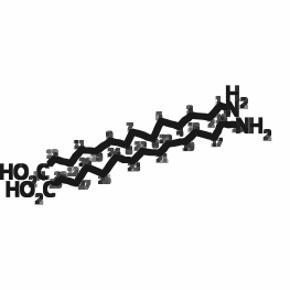 NCCCCCCCCCCCCCC(=O)O.NCCCCCCCCCCCCCC(=O)O